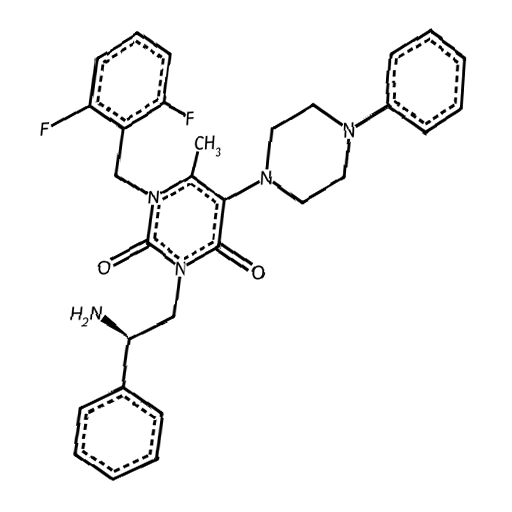 Cc1c(N2CCN(c3ccccc3)CC2)c(=O)n(C[C@H](N)c2ccccc2)c(=O)n1Cc1c(F)cccc1F